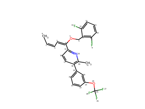 C/C=C\C=C(\OCc1c(F)cccc1F)c1ccc(-c2cccc(OC(F)(F)F)c2)c(C)n1